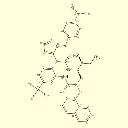 CC[C@H](C)[C@@H](CN(Cc1cccc2ccccc12)C(=S)Nc1cccc(C(F)(F)F)c1)NC(=O)Cc1cncn1Cc1ccc([N+](=O)[O-])cc1